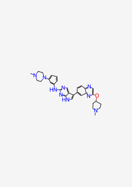 CN1CCC(Oc2cnc3ccc(-c4c[nH]c5nc(Nc6cccc(N7CCN(C)CC7)c6)ncc45)cc3n2)CC1